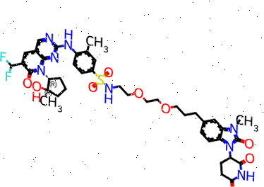 Cc1cc(S(=O)(=O)NCCOCCOCCCc2ccc3c(c2)n(C)c(=O)n3C2CCC(=O)NC2=O)ccc1Nc1ncc2cc(C(F)F)c(=O)n([C@@H]3CCC[C@@]3(C)O)c2n1